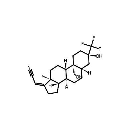 C[C@]12CC[C@H]3[C@@H](CC[C@@H]4C[C@@](O)(C(F)(F)F)CC[C@@]43CO)[C@@H]1CC/C2=C/C#N